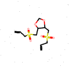 C=CCS(=O)(=O)CC1OCOC1CS(=O)(=O)CC=C